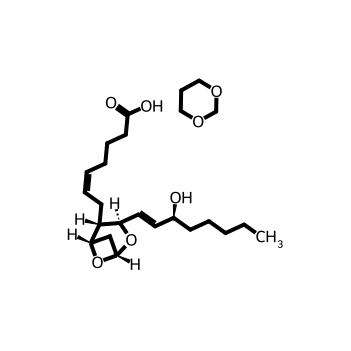 C1COCOC1.CCCCC[C@H](O)/C=C/[C@H]1O[C@H]2C[C@H](O2)[C@@H]1C/C=C\CCCC(=O)O